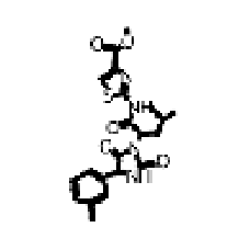 COC(=O)c1csc(NC(=O)C(CC(C)C)N2C(=O)NC(c3cccc(C)c3)C2=O)n1